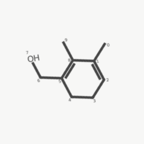 CC1=CCCC(CO)=C1C